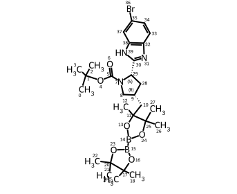 CC(C)(C)OC(=O)N1C[C@@H](CC2(C)OB(B3OC(C)(C)C(C)(C)O3)OC2(C)C)C[C@H]1c1nc2ccc(Br)cc2[nH]1